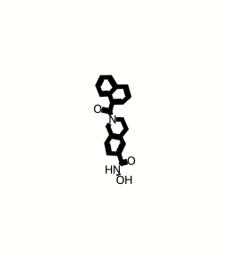 O=C(NO)c1ccc2c(c1)CCN(C(=O)c1cccc3ccccc13)C2